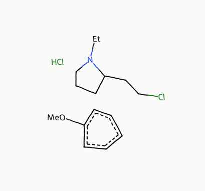 CCN1CCCC1CCCl.COc1ccccc1.Cl